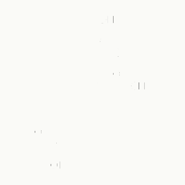 COc1cc(CC(=O)O)ccc1CC(=O)O